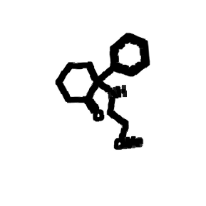 COCCNC1(c2ccccc2)CCCCC1=O